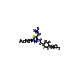 CC(=O)Nc1nc(C=Cc2ccc([N+](=O)[O-])cc2)c(CN(C)C)s1